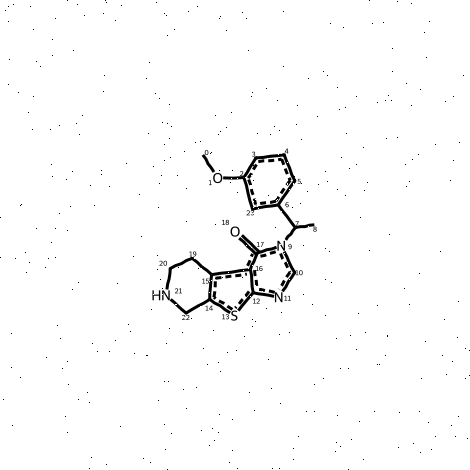 COc1cccc(C(C)n2cnc3sc4c(c3c2=O)CCNC4)c1